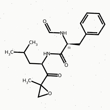 CC(C)CC(NC(=O)[C@H](Cc1ccccc1)NC=O)C(=O)C1(C)CO1